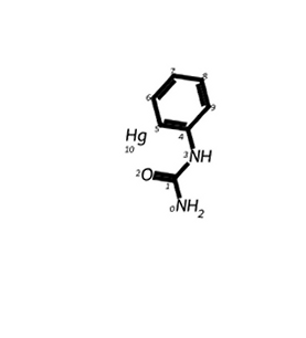 NC(=O)Nc1ccccc1.[Hg]